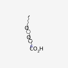 C=CCCCCCOC1CCC(COc2ccc(/C=C/C(=O)O)cc2)CC1